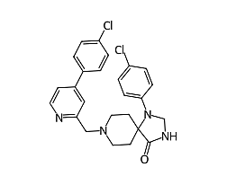 O=C1NCN(c2ccc(Cl)cc2)C12CCN(Cc1cc(-c3ccc(Cl)cc3)ccn1)CC2